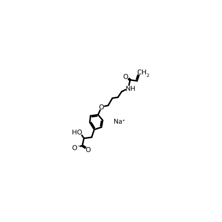 C=CC(=O)NCCCCOc1ccc(CC(O)C(=O)[O-])cc1.[Na+]